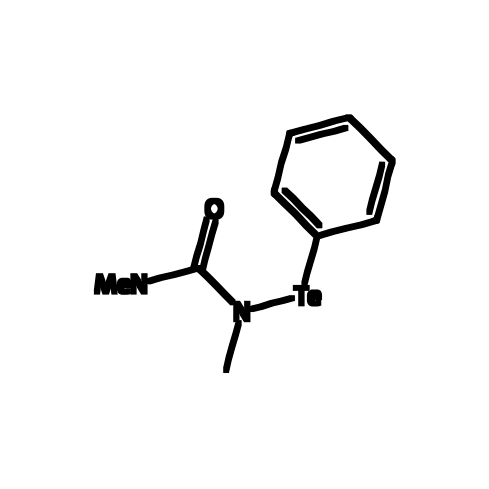 CNC(=O)N(C)[Te]c1ccccc1